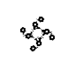 c1ccc(Sc2ccc3c(c2)-c2nc-3nc3[nH]c(nc4nc(nc5[nH]c(n2)c2ccc(Sc6ccccc6)cc52)-c2ccc(Sc5ccccc5)cc2-4)c2ccc(Sc4ccccc4)cc32)cc1